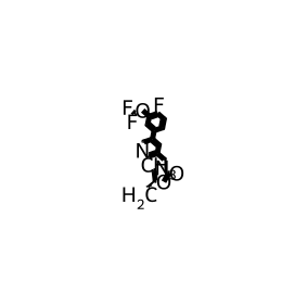 C=C[C@H]1CN(Cc2cc(-c3ccc(F)c(OC(F)F)c3)cnc2C)C(=O)O1